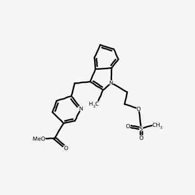 COC(=O)c1ccc(Cc2c(C)n(CCOS(C)(=O)=O)c3ccccc23)nc1